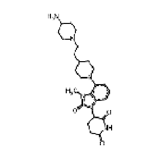 Cn1c(=O)n(C2CCC(=O)NC2=O)c2cccc(N3CCC(CCN4CCC(N)CC4)CC3)c21